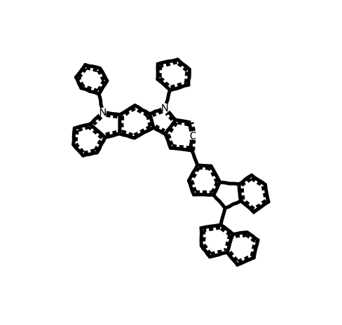 c1ccc(-n2c3ccccc3c3cc4c5cc(-c6ccc7c(c6)-c6ccccc6C7c6cccc7ccccc67)ccc5n(-c5ccccc5)c4cc32)cc1